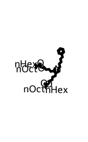 CCCCCCCCC(CCCCCC)C(=O)OCCCCC1CN(CCCCCc2ccccc2)CC1CCCCOC(=O)C(CCCCCC)CCCCCCCC